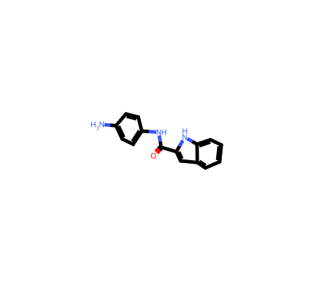 Nc1ccc(NC(=O)c2cc3ccccc3[nH]2)cc1